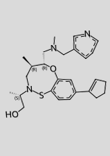 C[C@@H]1CN([C@@H](C)CO)Sc2ccc(C3=CCCC3)cc2O[C@H]1CN(C)Cc1cccnc1